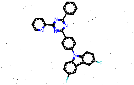 Fc1ccc2c(c1)c1cc(F)ccc1n2-c1ccc(-c2nc(-c3ccccc3)nc(-c3ccccn3)n2)cc1